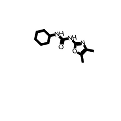 Cc1nc(NC(=O)NC2CCCCC2)oc1C